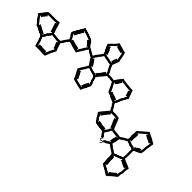 c1cc(-c2ccc3sc4c5ccccc5c5ccccc5c4c3c2)cc(-c2c3ccccc3c(-c3cccc(-c4cccc5ccccc45)c3)c3ccccc23)c1